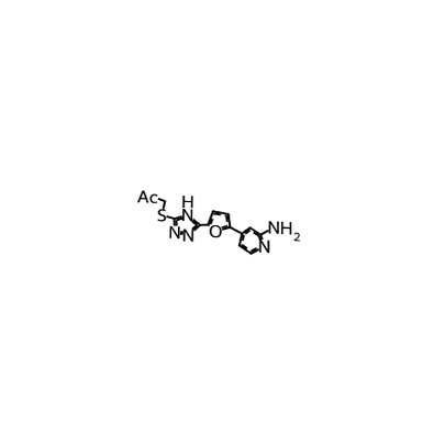 CC(=O)CSc1nnc(-c2ccc(-c3ccnc(N)c3)o2)[nH]1